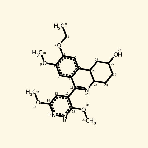 CCOc1cc2c(cc1OC)C(c1cc(OC)nnc1OC)=NC1CCC(O)CC21